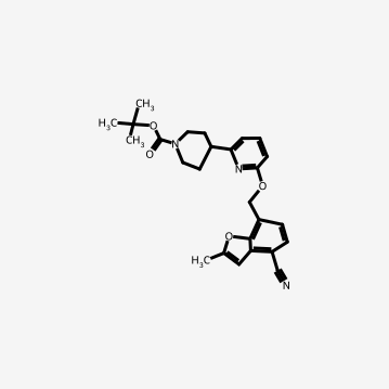 Cc1cc2c(C#N)ccc(COc3cccc(C4CCN(C(=O)OC(C)(C)C)CC4)n3)c2o1